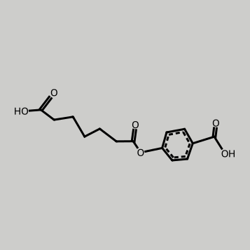 O=C(O)CCCCCC(=O)Oc1ccc(C(=O)O)cc1